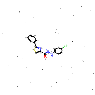 O=C(NNc1ccc(Cl)cc1)c1csc(-c2ccccc2)n1